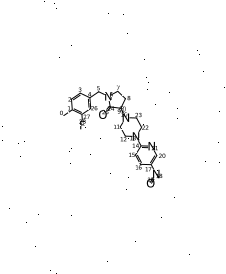 Cc1ccc(CN2CC[C@@H](N3CCN(c4ccc(N=O)cn4)CC3)C2=O)cc1F